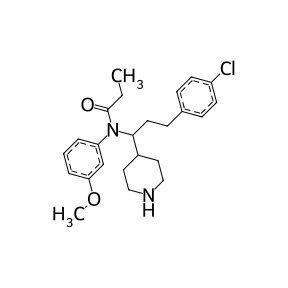 CCC(=O)N(c1cccc(OC)c1)C(CCc1ccc(Cl)cc1)C1CCNCC1